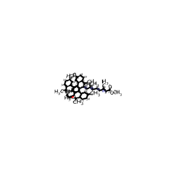 COC(=O)/C=C(C)/C=C/C=C(C)/C=C/c1c(C2CC(C)CCC2C(C)C)c2c(c(C3CC(C)CCC3C(C)C)c1C1CC(C)CCC1C(C)C)OCC=C2